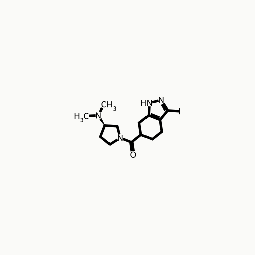 CN(C)[C@@H]1CCN(C(=O)C2CCc3c(I)n[nH]c3C2)C1